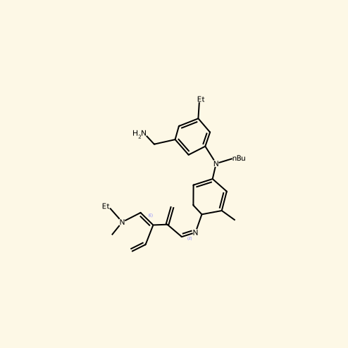 C=C/C(=C\N(C)CC)C(=C)/C=N\C1CC=C(N(CCCC)c2cc(CC)cc(CN)c2)C=C1C